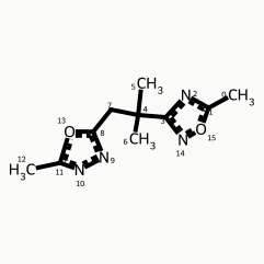 Cc1nc(C(C)(C)Cc2nnc(C)o2)no1